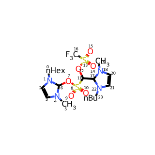 CCCCCCN1C=CN(C)C1OS(=O)(=O)C(OS(=O)(=O)C(F)(F)F)C1N(C)C=CN1CCCC